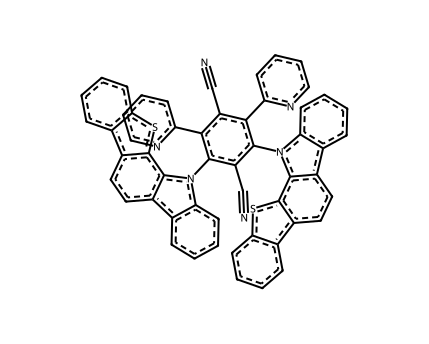 N#Cc1c(-c2ccccn2)c(-n2c3ccccc3c3ccc4c5ccccc5sc4c32)c(C#N)c(-n2c3ccccc3c3ccc4c5ccccc5sc4c32)c1-c1ccccn1